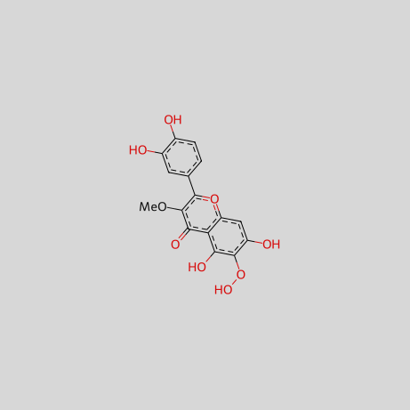 COc1c(-c2ccc(O)c(O)c2)oc2cc(O)c(OO)c(O)c2c1=O